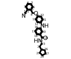 N#Cc1ccccc1COc1ccc(Nc2cccc(C(=O)NCCC3CCCC3)c2)cc1